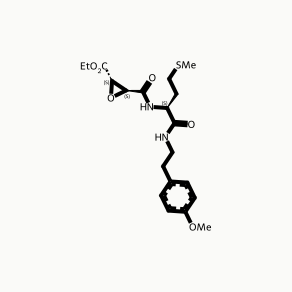 CCOC(=O)[C@H]1O[C@@H]1C(=O)N[C@@H](CCSC)C(=O)NCCc1ccc(OC)cc1